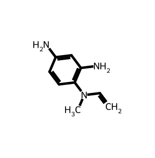 C=CN(C)c1ccc(N)cc1N